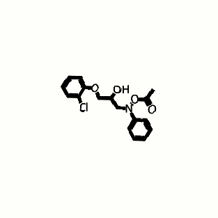 CC(=O)ON(CC(O)COc1ccccc1Cl)c1ccccc1